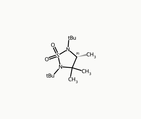 C[C@H]1N(C(C)(C)C)S(=O)(=O)N(C(C)(C)C)C1(C)C